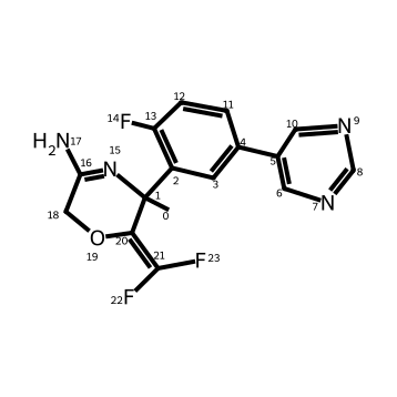 CC1(c2cc(-c3cncnc3)ccc2F)N=C(N)COC1=C(F)F